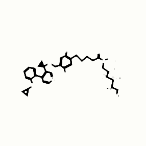 CN(C[C@H](O)[C@@H](O)[C@H](O)[C@H](O)CO)C(=O)CCCCc1cc(Cl)c(COC2(c3cnccc3-c3ccccc3OC3CC3)CC2)cc1Cl